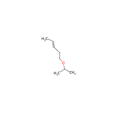 CC=CCCOC(C)C